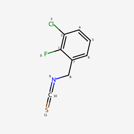 Fc1c(Cl)cccc1CN=C=S